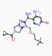 C[Si](C)(C)CCOCn1c(C(=N)c2cnc(Br)cc2N)nc2c1CN(C(=O)C1CC1)C2